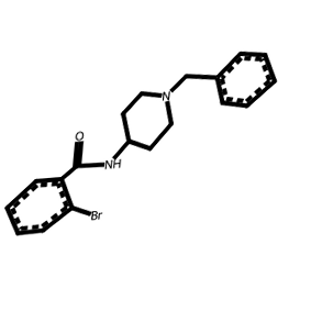 O=C(NC1CCN(Cc2ccccc2)CC1)c1ccccc1Br